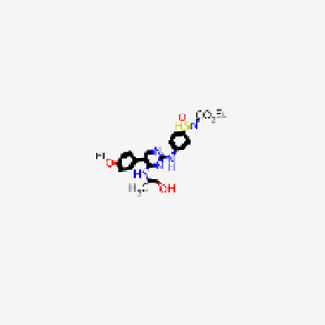 CCOC(=O)/N=[SH](=O)/c1ccc(Nc2ncc(-c3ccc(OCC)cc3)c(N[C@H](C)CO)n2)cc1